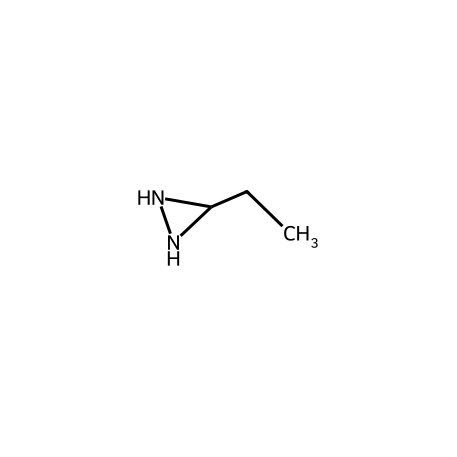 CCC1NN1